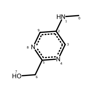 CNc1cnc(CO)nc1